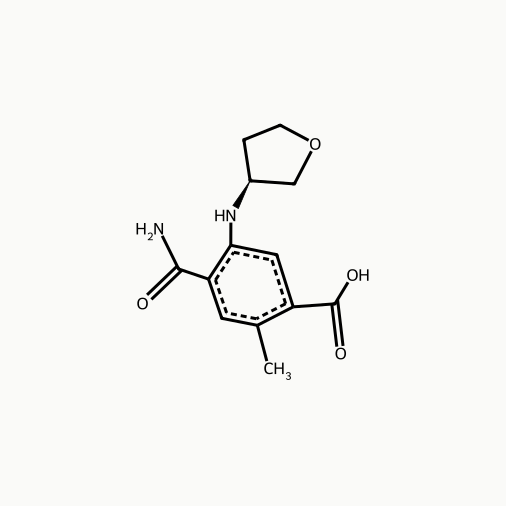 Cc1cc(C(N)=O)c(N[C@H]2CCOC2)cc1C(=O)O